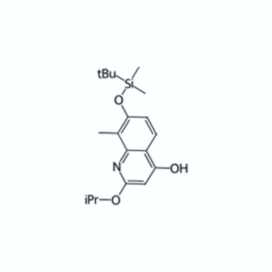 Cc1c(O[Si](C)(C)C(C)(C)C)ccc2c(O)cc(OC(C)C)nc12